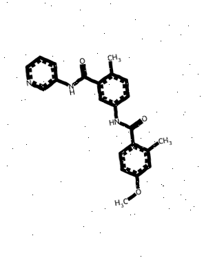 COc1ccc(C(=O)Nc2ccc(C)c(C(=O)Nc3cccnc3)c2)c(C)c1